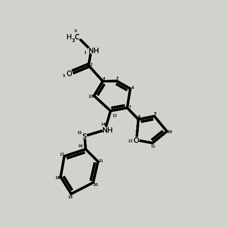 CNC(=O)c1ccc(-c2ccco2)c(NSc2ccccc2)c1